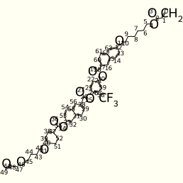 C=CC(=O)OCCCCCCOc1ccc2cc(C(=O)Oc3ccc(OC(=O)c4ccc5cc(OC(=O)C6CC=C(OCCCCOCC7CO7)CC6)ccc5c4)c(C(F)(F)F)c3)ccc2c1